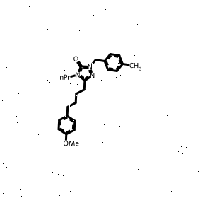 CCCn1c(CCCCc2ccc(OC)cc2)nn(Cc2ccc(C)cc2)c1=O